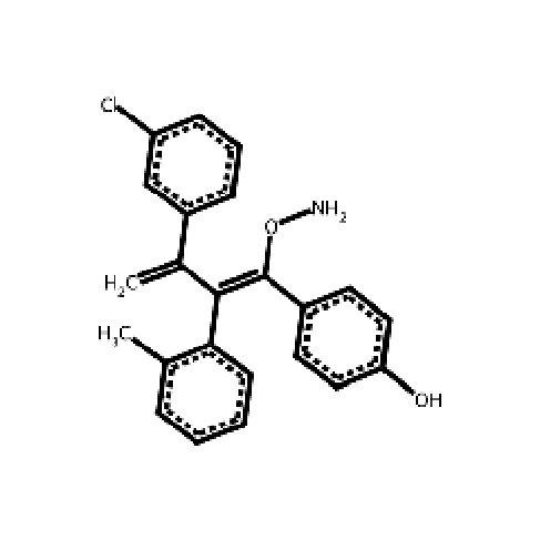 C=C(/C(=C(\ON)c1ccc(O)cc1)c1ccccc1C)c1cccc(Cl)c1